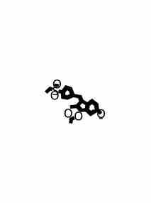 CCS(=O)(=O)c1ccc(C=C2C(C)=C(OC(C)=O)c3cc(OC)ccc32)cc1